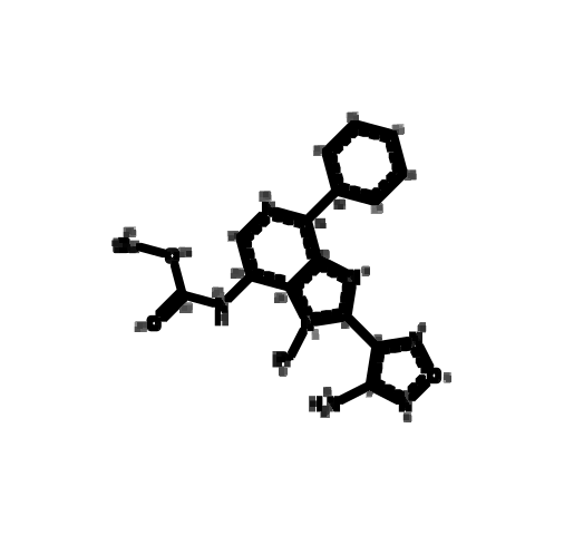 CC(C)n1c(-c2nonc2N)nc2c(-c3ccccc3)ncc(NC(=O)OC(C)(C)C)c21